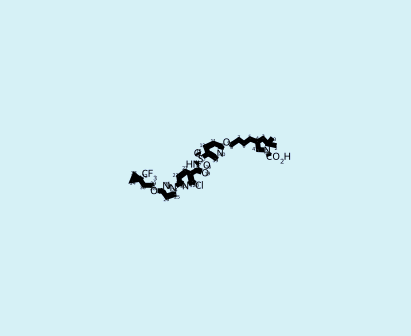 CC1(C)CC(CCCCOc2ccc(S(=O)(=O)NC(=O)c3ccc(-n4ccc(OCCC5(C(F)(F)F)CC5)n4)nc3Cl)cn2)CN1C(=O)O